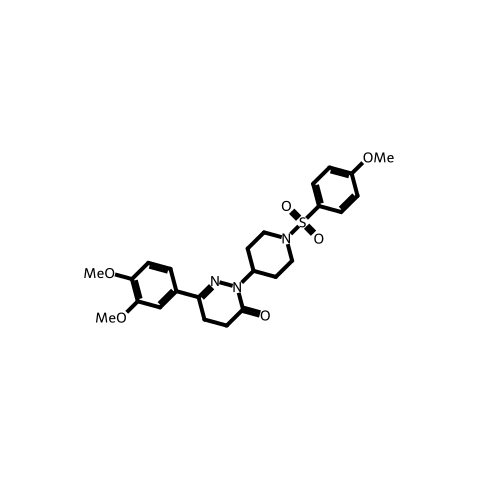 COc1ccc(S(=O)(=O)N2CCC(N3N=C(c4ccc(OC)c(OC)c4)CCC3=O)CC2)cc1